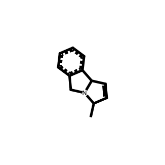 CC1C=CC2c3ccccc3CN12